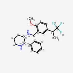 COc1ccc(C(C)C(F)(F)F)cc1CN[C@H]1CCCN[C@H]1c1ccccc1